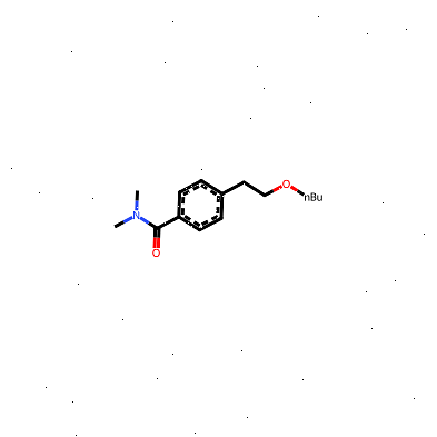 CCCCOCCc1ccc(C(=O)N(C)C)cc1